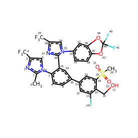 Cc1nc(C(F)(F)F)cn1-c1ccc(-c2cc(F)c(CO)c(S(C)(=O)=O)c2)cc1-c1nc(C(F)(F)F)cn1-c1ccc2c(c1)OC(F)(F)O2